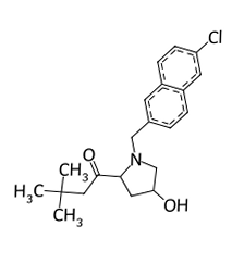 CC(C)(C)CC(=O)C1CC(O)CN1Cc1ccc2cc(Cl)ccc2c1